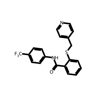 O=C(Nc1ccc(C(F)(F)F)cc1)c1ccccc1SCc1ccncc1